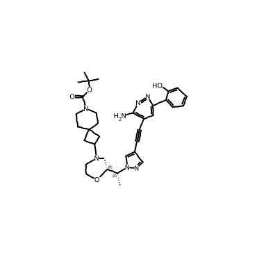 C[C@H]([C@H]1CN(C2CC3(CCN(C(=O)OC(C)(C)C)CC3)C2)CCO1)n1cc(C#Cc2cc(-c3ccccc3O)nnc2N)cn1